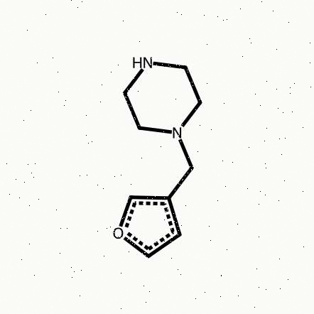 c1cc(CN2CCNCC2)co1